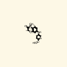 CCCCOc1ccc(Nc2ccc3c(c2)OCC(=O)N3C)cn1